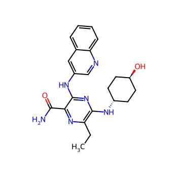 CCc1nc(C(N)=O)c(Nc2cnc3ccccc3c2)nc1N[C@H]1CC[C@H](O)CC1